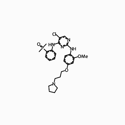 COc1cc(OCCCN2CCCC2)ccc1Nc1ncc(Cl)c(Nc2ccccc2P(C)(C)=O)n1